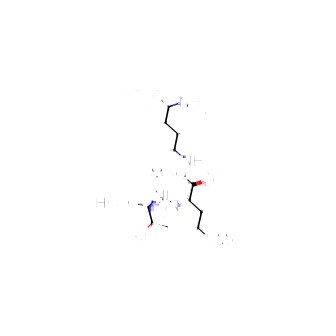 COC(=O)[C@@H](N)CCSC.C[C@@H](O)[C@H](N)C(=O)O.NCCC[C@H](N)C(=O)O